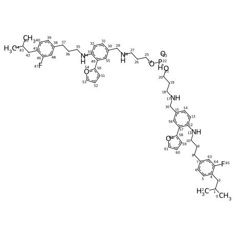 CC(C)Cc1ccc(CCCNc2ccc(CNCCCO[PH](=O)OCCCNCc3ccc(NCCCc4ccc(CC(C)C)c(F)c4)c(-c4ccco4)c3)cc2-c2ccco2)cc1F